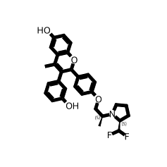 CC1=C(c2cccc(O)c2)C(c2ccc(OC[C@H](C)N3CCC[C@H]3C(F)F)cc2)Oc2ccc(O)cc21